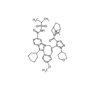 COc1ccc2c(c1)C=C(c1c(C(=O)N3CC4CCC(C3)N4C)cnn1C1CCOCC1)Cn1c-2c(C2CCCCC2)c2ccc(C(=O)NS(=O)(=O)C(C)C)cc21